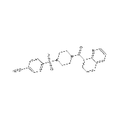 N#Cc1ccc(S(=O)(=O)N2CCN(C(=O)c3cccc4cccnc34)CC2)cc1